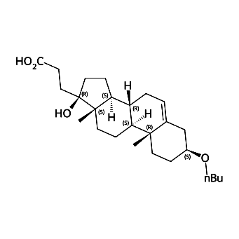 CCCCO[C@H]1CC[C@@]2(C)C(=CC[C@@H]3[C@@H]2CC[C@@]2(C)[C@H]3CC[C@@]2(O)CCC(=O)O)C1